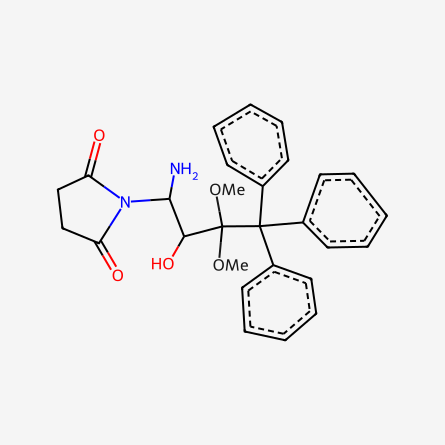 COC(OC)(C(O)C(N)N1C(=O)CCC1=O)C(c1ccccc1)(c1ccccc1)c1ccccc1